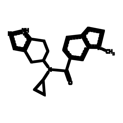 Cn1ccc2ccc(C(=O)N(C3CC3)C3CCc4[nH]ncc4C3)cc21